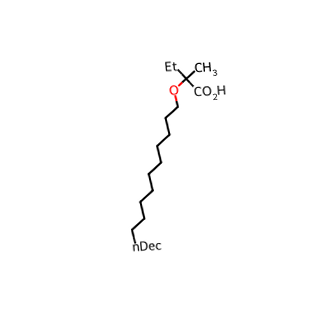 CCCCCCCCCCCCCCCCCCCCOC(C)(CC)C(=O)O